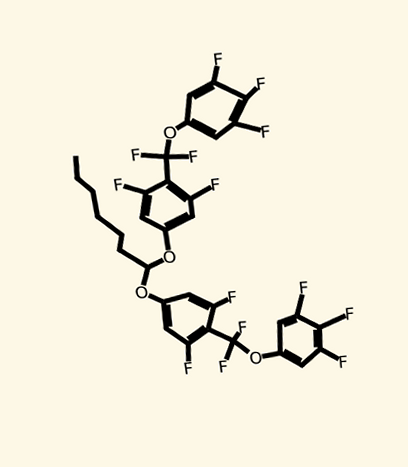 CCCCCCC(Oc1cc(F)c(C(F)(F)Oc2cc(F)c(F)c(F)c2)c(F)c1)Oc1cc(F)c(C(F)(F)Oc2cc(F)c(F)c(F)c2)c(F)c1